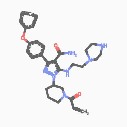 C=CC(=O)N1CCCC(n2nc(-c3ccc(Oc4ccccc4)cc3)c(C(N)=O)c2NCCN2CCNCC2)C1